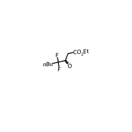 CCCCC(F)(F)C(=O)CC(=O)OCC